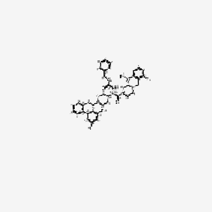 CCOc1cccc(F)c1CN1CCN(C(=O)[C@H](NC(=O)OCc2ccccc2)C2CCN(CCc3ccccc3-c3cc(F)cc(F)c3)CC2)CC1